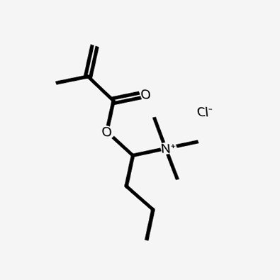 C=C(C)C(=O)OC(CCC)[N+](C)(C)C.[Cl-]